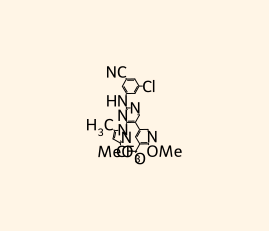 COC(=O)c1cc(-c2cnc(Nc3cc(Cl)cc(C#N)c3)nc2-n2nc(C(F)(F)F)cc2C)cnc1OC